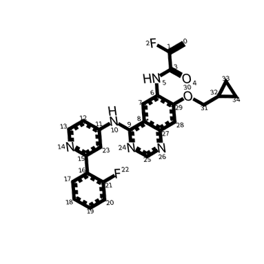 C=C(F)C(=O)Nc1cc2c(Nc3ccnc(-c4ccccc4F)c3)ncnc2cc1OCC1CC1